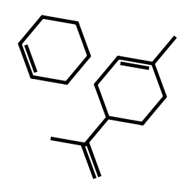 C1=CCCCC1.C=C(C)C1CC=C(C)CC1